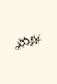 CC1(NS(=O)(=O)c2ccc3cnc(Cl)cc3c2)CC1